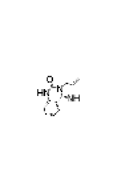 C=CCn1c(=O)[nH]c2ccccc2c1=N